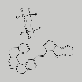 C(=Cc1cccc2c1oc1ccccc12)c1cc[n+]2c(c1)-c1c(ccc3c1-c1cccc[n+]1CC3)CC2.O=S(=O)([O-])C(F)(F)F.O=S(=O)([O-])C(F)(F)F